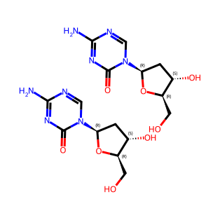 Nc1ncn([C@H]2C[C@H](O)[C@@H](CO)O2)c(=O)n1.Nc1ncn([C@H]2C[C@H](O)[C@@H](CO)O2)c(=O)n1